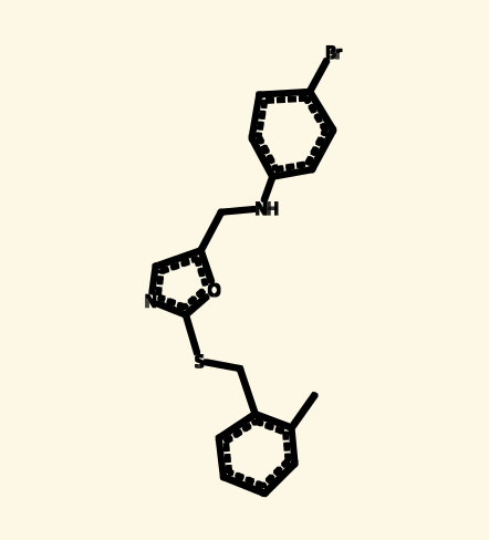 Cc1ccccc1CSc1ncc(CNc2ccc(Br)cc2)o1